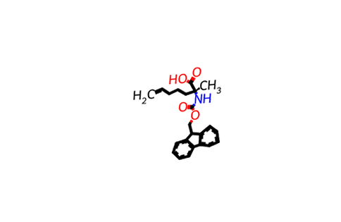 C=CCCC[C@@](C)(NC(=O)OCC1c2ccccc2-c2ccccc21)C(=O)O